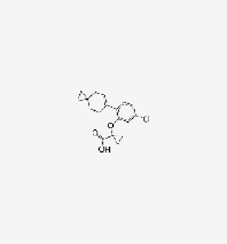 O=C(O)C1(Oc2cc(Cl)ccc2C2=CCC3(CC2)CC3)CC1